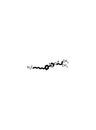 CCCCCCCCc1ccc(-c2ncc(OCC(F)CC(C)CC)cn2)cc1